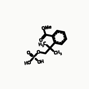 COC(=O)c1ccccc1C(C)(C)COP(=O)(O)O